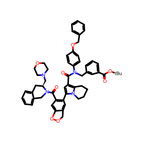 CC(C)(C)OC(=O)c1cccc(CN(C(=O)c2cc(-c3cc4c(cc3C(=O)N3Cc5ccccc5C[C@H]3CN3CCOCC3)OOC4)n3c2CCCC3)c2ccc(OCc3ccccc3)cc2)c1